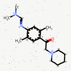 CCN(C)C=Nc1cc(C)c(C(=O)CN2CCCCC2)cc1C